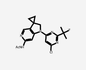 CC(=O)Nc1cc2c(cn1)C1(CC1)CN2c1cc(Cl)nc(C(C)(C)F)n1